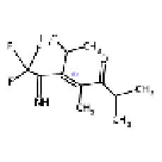 C/C(C(=O)C(C)C)=C(\C(=N)C(F)(F)F)C(C)C